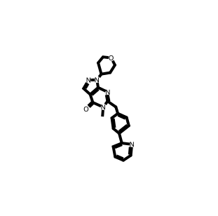 Cn1c(Cc2ccc(-c3ccccn3)cc2)nc2c(cnn2C2CCOCC2)c1=O